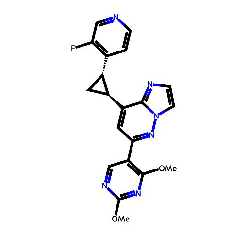 COc1ncc(-c2cc([C@H]3C[C@@H]3c3ccncc3F)c3nccn3n2)c(OC)n1